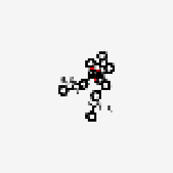 Cn1c(-c2ccccc2)nc2ccc(-c3cccc4c(-c5cccc6c5C(c5ccccc5)(c5ccccc5)c5ccccc5-6)c5cccc(-c6ccc7nc(-c8ccccc8)n(C)c7c6)c5cc34)cc21